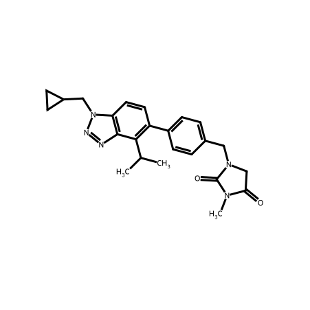 CC(C)c1c(-c2ccc(CN3CC(=O)N(C)C3=O)cc2)ccc2c1nnn2CC1CC1